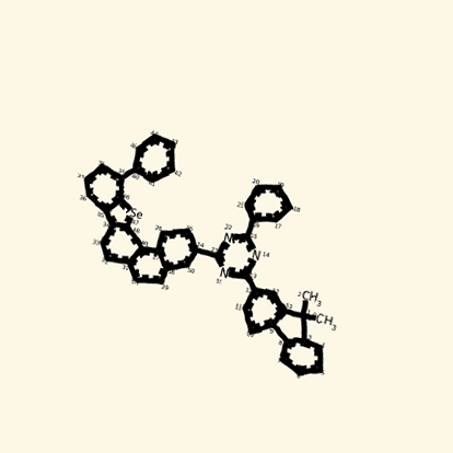 CC1(C)c2ccccc2-c2ccc(-c3nc(-c4ccccc4)nc(-c4ccc5c(ccc6ccc7c8cccc(-c9ccccc9)c8[se]c7c65)c4)n3)cc21